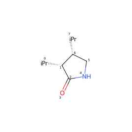 CC(C)[C@H]1C(=O)NC[C@H]1C(C)C